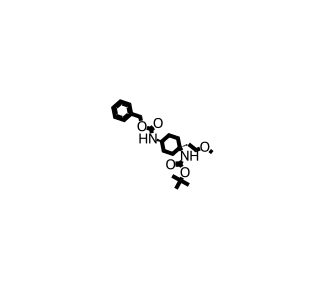 COCC[C@]1(NC(=O)OC(C)(C)C)CC[C@@H](NC(=O)OCc2ccccc2)CC1